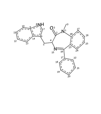 CN1C(=O)C(Cc2c[nH]c3ccccc23)N=C(c2ccccc2)c2ccccc21